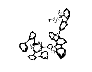 CC1(C)c2ccccc2-c2ccc(-n3c4ccccc4c4c3ccc3c5ccccc5n(-c5ccc(-c6nc(-c7ccccc7-c7ccccc7)nc(-c7ccccc7-c7ccccc7)n6)cc5C#N)c34)cc21